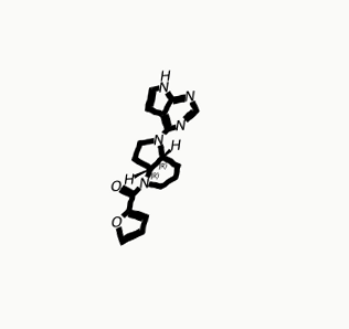 O=C(c1ccco1)N1CCC[C@@H]2[C@H]1CCN2c1ncnc2[nH]ccc12